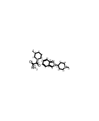 C[C@H]1CC[C@H](c2ccc3cn(C4CCN(C)CC4)nc3c2)N(C(=O)C(N)=O)C1